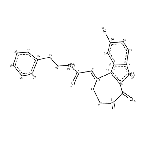 O=C(/C=C1\CCNC(=O)c2[nH]c3ccc(F)cc3c21)NCCc1ccccn1